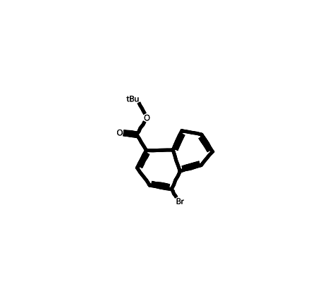 CC(C)(C)OC(=O)c1ccc(Br)c2ccccc12